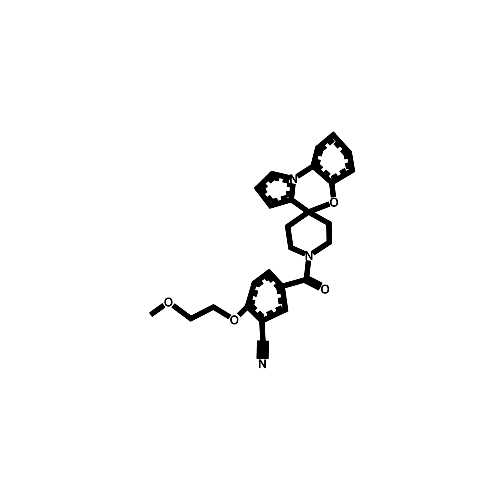 COCCOc1ccc(C(=O)N2CCC3(CC2)Oc2ccccc2-n2cccc23)cc1C#N